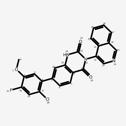 COc1cc(-c2ccc3c(=O)n(-c4cncc5ccccc45)c(=O)[nH]c3c2)c(Cl)cc1F